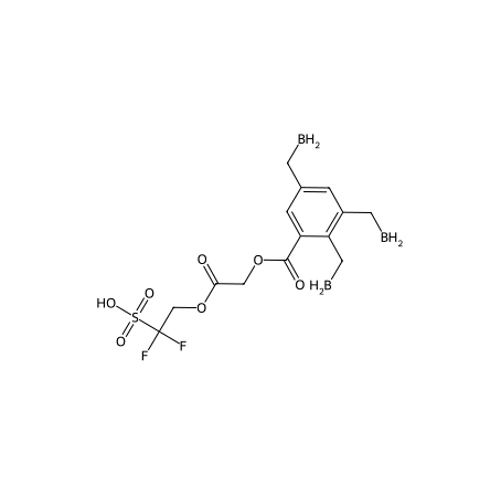 BCc1cc(CB)c(CB)c(C(=O)OCC(=O)OCC(F)(F)S(=O)(=O)O)c1